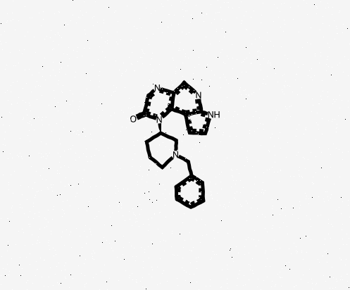 O=c1cnc2cnc3[nH]ccc3c2n1[C@@H]1CCCN(Cc2ccccc2)C1